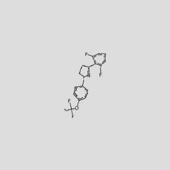 Fc1cccc(F)c1C1=NC(c2ccc(OC(F)(F)F)cc2)CC1